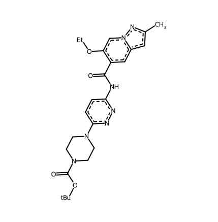 CCOc1cn2nc(C)cc2cc1C(=O)Nc1ccc(N2CCN(C(=O)OC(C)(C)C)CC2)nn1